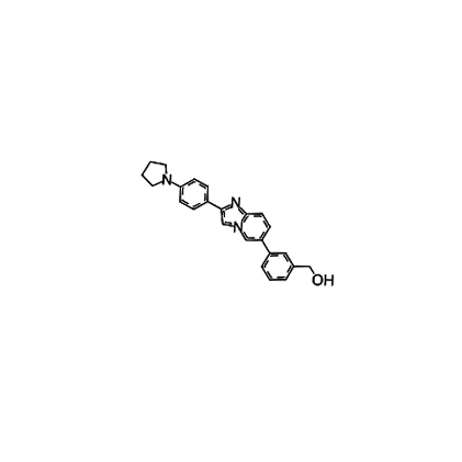 OCc1cccc(-c2ccc3nc(-c4ccc(N5CCCC5)cc4)cn3c2)c1